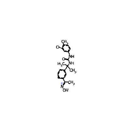 C/C(=N\O)c1cccc(C(C)(C)NC(=O)Nc2ccc(C)c(Cl)c2)c1